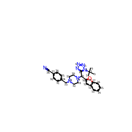 CC(C)(C)n1nnnc1C(c1cc2ccccc2o1)N1CCN(Cc2ccc(C#N)cc2)CC1